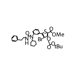 COC(=O)c1sc(-c2cccc(N(C(=O)NCCc3ccccc3)C3CCCCC3)c2)c(Br)c1OCC(=O)OC(C)(C)C